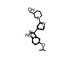 CC(C)Oc1ccc2[nH]nc(-c3ccnc(N4CCCC(CO)C4)c3)c2c1